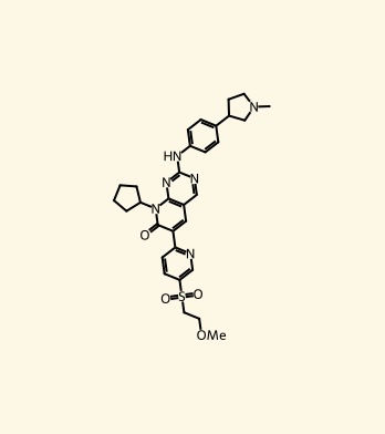 COCCS(=O)(=O)c1ccc(-c2cc3cnc(Nc4ccc(C5CCN(C)C5)cc4)nc3n(C3CCCC3)c2=O)nc1